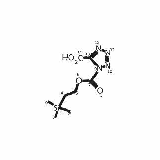 C[Si](C)(C)CCOC(=O)n1nnnc1C(=O)O